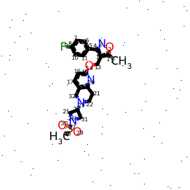 Cc1onc(-c2ccc(F)cc2)c1COc1ccc2c(n1)CCN(C1CN(S(C)(=O)=O)C1)C2